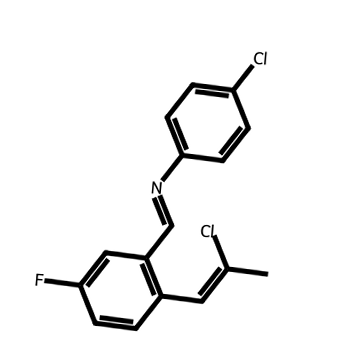 C/C(Cl)=C/c1ccc(F)cc1/C=N/c1ccc(Cl)cc1